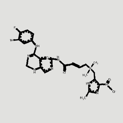 Cc1nc([N+](=O)[O-])c(C[N+](C)(C)C/C=C/C(=O)Nc2cc3c(cn2)NCN=C3Nc2ccc(F)c(Br)c2)[nH]1